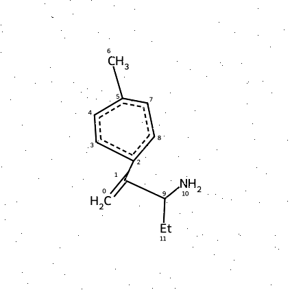 C=C(c1ccc(C)cc1)C(N)CC